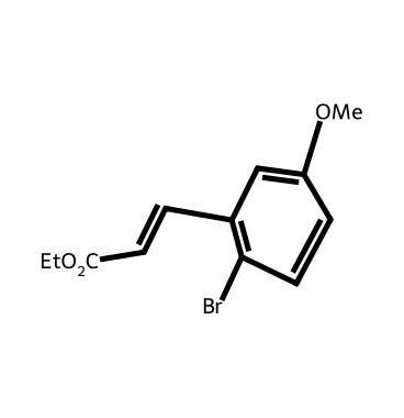 CCOC(=O)/C=C/c1cc(OC)ccc1Br